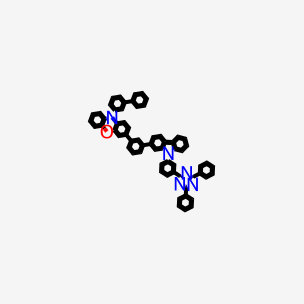 c1ccc(-c2cccc(N3c4ccccc4Oc4cc(-c5cccc(-c6ccc7c8ccccc8n(-c8cccc(-c9nc(-c%10ccccc%10)nc(-c%10ccccc%10)n9)c8)c7c6)c5)ccc43)c2)cc1